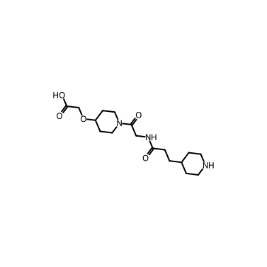 O=C(O)COC1CCN(C(=O)CNC(=O)CCC2CCNCC2)CC1